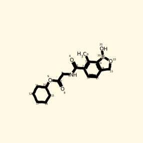 Cc1c(C(=O)NCC(=O)OC2CCCCC2)ccc2c1B(O)OC2